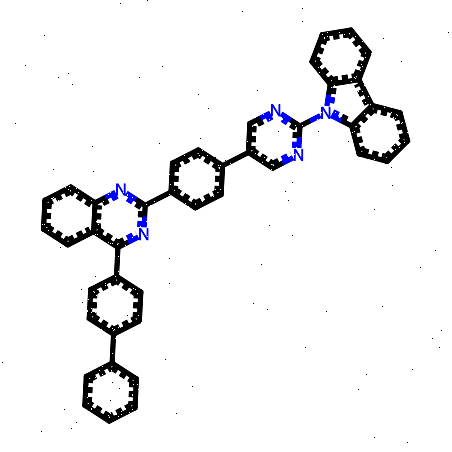 c1ccc(-c2ccc(-c3nc(-c4ccc(-c5cnc(-n6c7ccccc7c7ccccc76)nc5)cc4)nc4ccccc34)cc2)cc1